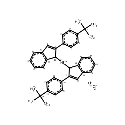 CC(C)(C)c1ccc(C2=Cc3ccccc3[CH]2[Hf+2][CH]2C(c3ccc(C(C)(C)C)cc3)=Cc3ccccc32)cc1.[Cl-].[Cl-]